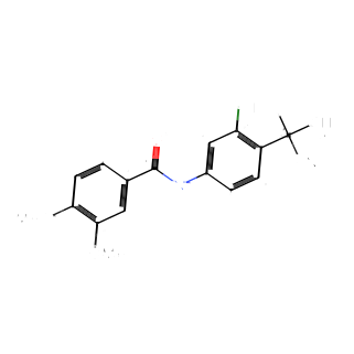 COc1ccc(C(=O)Nc2ccc(C(C)(C)C#N)c(Cl)c2)cc1OC